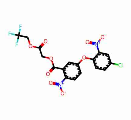 O=C(COC(=O)c1cc(Oc2ccc(Cl)cc2[N+](=O)[O-])ccc1[N+](=O)[O-])OCC(F)(F)F